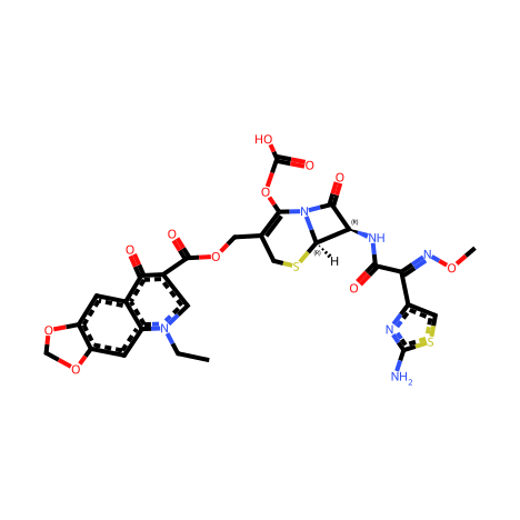 CCn1cc(C(=O)OCC2=C(OC(=O)O)N3C(=O)[C@@H](NC(=O)C(=NOC)c4csc(N)n4)[C@H]3SC2)c(=O)c2cc3c(cc21)OCO3